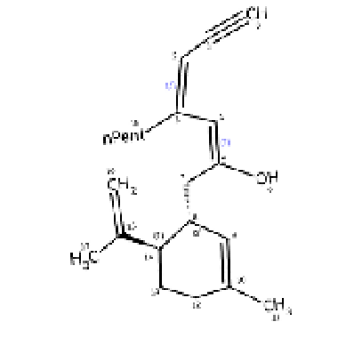 C#C/C=C(\C=C(\O)C[C@@H]1C=C(C)CC[C@H]1C(=C)C)CCCCC